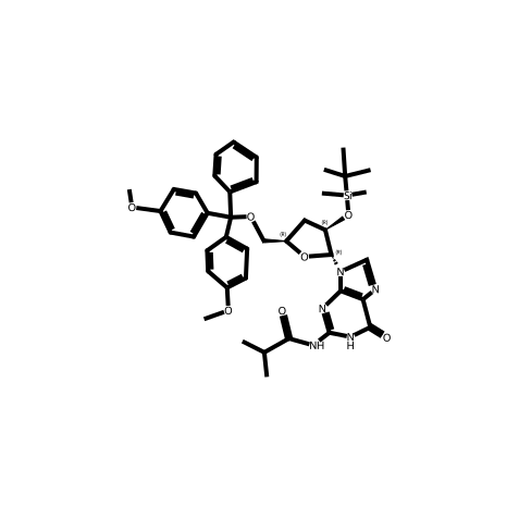 COc1ccc(C(OC[C@H]2[CH][C@@H](O[Si](C)(C)C(C)(C)C)[C@H](n3cnc4c(=O)[nH]c(NC(=O)C(C)C)nc43)O2)(c2ccccc2)c2ccc(OC)cc2)cc1